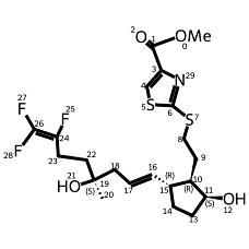 COC(=O)c1csc(SCC[C@H]2[C@@H](O)CC[C@@H]2C=CC[C@@](C)(O)CCC(F)=C(F)F)n1